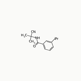 CC(C)c1cccc(C(=O)NC(C)(C)C#N)c1